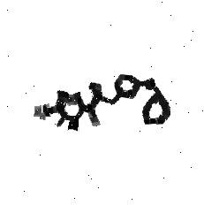 CC(NC(=N)NC(=O)Cc1cccc(Oc2ccccc2)c1)C(N)=O